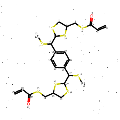 C=CC(=O)SCC1CSC(C(SCC)c2ccc(C(SCC)C3SCC(CSC(=O)C=C)S3)cc2)S1